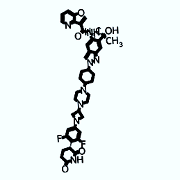 CC(C)(O)c1cc2nn(C3CCC(N4CCN(C5CN(c6cc(F)c([C@H]7CCC(=O)NC7=O)c(F)c6)C5)CC4)CC3)cc2cc1NC(=O)c1coc2cccnc12